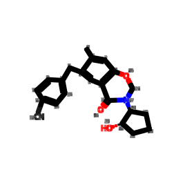 Cc1cc2c(cc1Cc1ccc(C#N)cc1)C(=O)N([C@H]1CCC[C@@H]1O)CO2